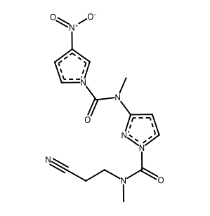 CN(CCC#N)C(=O)n1ccc(N(C)C(=O)n2ccc([N+](=O)[O-])c2)n1